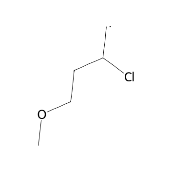 [CH2]C(Cl)CCOC